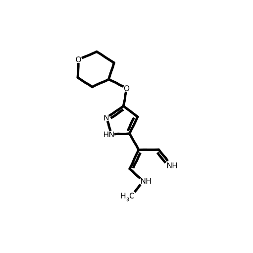 CN/C=C(\C=N)c1cc(OC2CCOCC2)n[nH]1